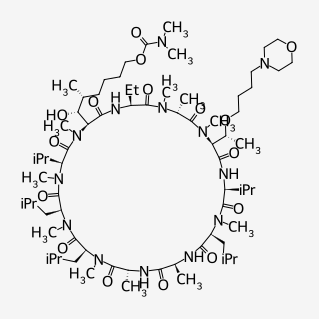 CC[C@@H]1NC(=O)[C@H]([C@H](O)[C@H](C)CCCCOC(=O)N(C)C)N(C)C(=O)[C@H](C(C)C)N(C)C(=O)[C@H](CC(C)C)N(C)C(=O)[C@H](CC(C)C)N(C)C(=O)[C@@H](C)NC(=O)[C@H](C)NC(=O)[C@H](CC(C)C)N(C)C(=O)[C@H](C(C)C)NC(=O)[C@H]([C@@H](C)OCCCCN2CCOCC2)N(C)C(=O)[C@@H](C)N(C)C1=O